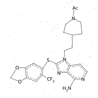 CC(=O)N1CCC(CCn2c(Sc3cc4c(cc3C(F)(F)F)OCO4)nc3c(N)nccc32)CC1